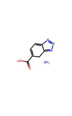 N.O=C(O)C1=CC=C2N=NN=C2C1